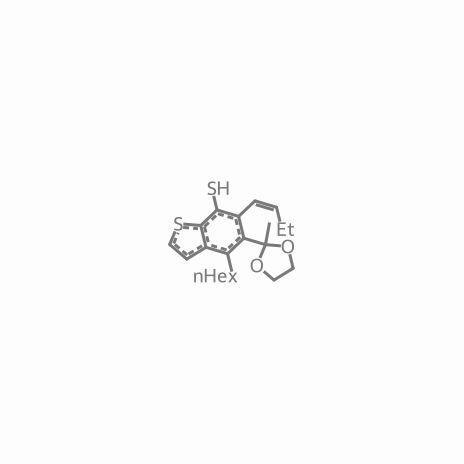 CC/C=C\c1c(C2(C)OCCO2)c(CCCCCC)c2ccsc2c1S